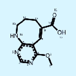 COc1ncnc2c1/C=C(/C(=O)O)CCCN2